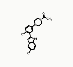 CC(=O)N1CCN(c2ccc(Cl)c(-c3nc4cc(Cl)ccc4[nH]3)c2)CC1